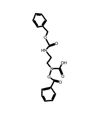 O=C(NCCN(OC(=O)c1ccccc1)C(=O)O)OCc1ccccc1